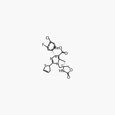 COC(=O)C1=C2C[C@@]3(COC(=O)N3)CN2C(C2CC=CS2)=N[C@@H]1c1ccc(Cl)c(F)c1